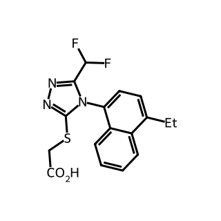 CCc1ccc(-n2c(SCC(=O)O)nnc2C(F)F)c2ccccc12